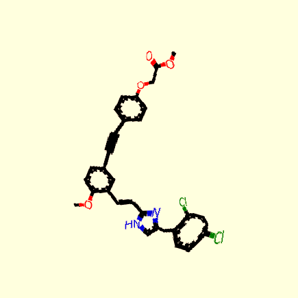 COC(=O)COc1ccc(C#Cc2ccc(OC)c(C=Cc3nc(-c4ccc(Cl)cc4Cl)c[nH]3)c2)cc1